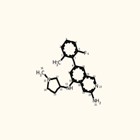 Cc1cccc(F)c1-c1cc(NC2CCN(C)C2)c2cc(N)ncc2c1